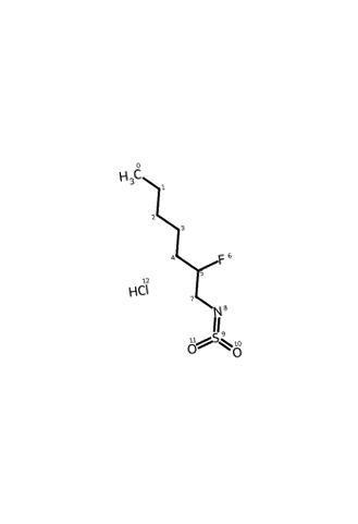 CCCCCC(F)CN=S(=O)=O.Cl